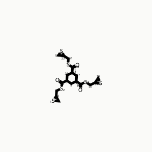 O=C(SCC1CS1)C1CC(C(=O)SCC2CS2)CC(C(=O)SCC2CS2)C1